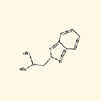 CCCCN(CCCC)Cn1nc2ccccc2n1